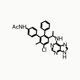 CC(=O)Nc1ccc(-c2c(C)c(Cl)cc(C(C)Nc3ncnc4[nH]cnc34)c2-c2ccccc2)cc1